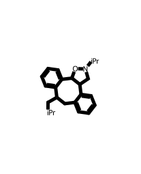 CC(C)CC1Cc2ccccc2C2CN(C(C)C)OC2c2ccccc21